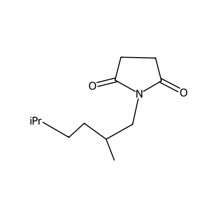 CC(C)CCC(C)CN1C(=O)CCC1=O